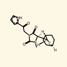 CN1C(=O)N(CC(=O)c2ccc[nH]2)C(=O)[C@@]1(C)[C@H]1C[C@H]2CC[C@H]1CC2